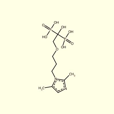 Cc1cnc(C)n1CCCOCC(O)(P(=O)(O)O)P(=O)(O)O